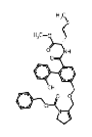 COC(=O)[C@H](CCSC)NC(=O)c1ccc(COCC2=CCCN2C(=O)OCc2ccccc2)cc1-c1ccccc1C